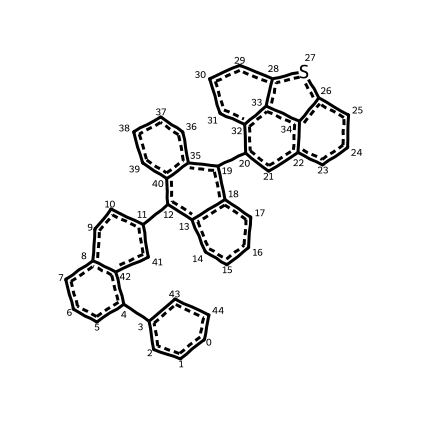 c1ccc(-c2cccc3ccc(-c4c5ccccc5c(-c5cc6cccc7sc8cccc5c8c67)c5ccccc45)cc23)cc1